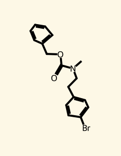 CN(CCc1ccc(Br)cc1)C(=O)OCc1ccccc1